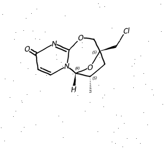 C[C@H]1C[C@@]2(CCl)COc3nc(=O)ccn3[C@@H]1O2